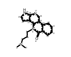 CN(C)CCCn1c(=O)c2ccccc2c2cnc3[nH]ccc3c21